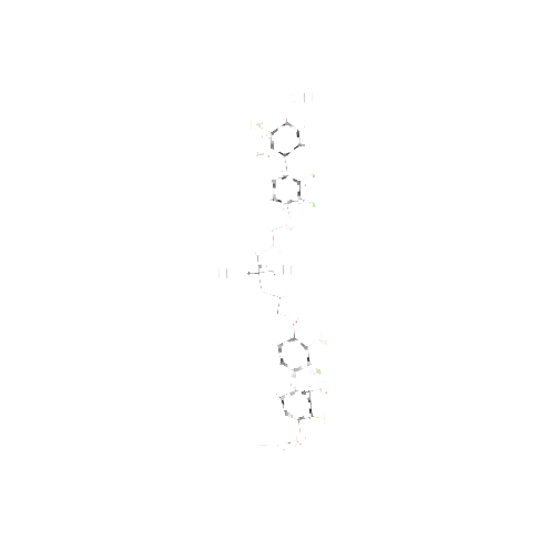 COc1ccc(-c2ccc(OCCCC(C)(C)CCCOc3ccc(-c4ccc(OC)c(F)c4F)c(F)c3F)c(F)c2F)c(F)c1F